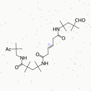 CC(=O)C(C)(C)CNC(=O)C(C)(C)CC(C)(C)NC(=O)C/C=C/CC(=O)NC(C)(C)CC(C)(C)C=O